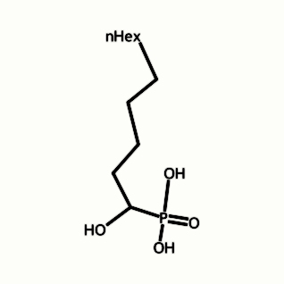 CCCCCCCCCCC(O)P(=O)(O)O